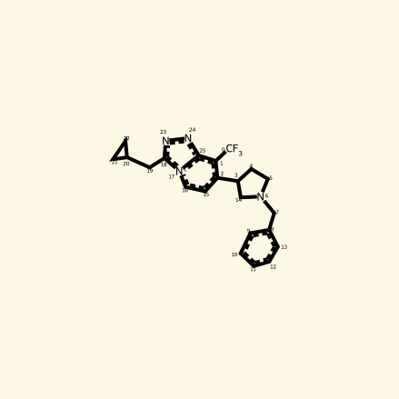 FC(F)(F)c1c(C2CCN(Cc3ccccc3)C2)ccn2c(CC3CC3)nnc12